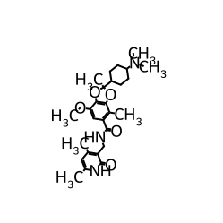 COc1cc(C(=O)NCc2c(C)cc(C)[nH]c2=O)c(C)c2c1OC(C)(C1CCC(N(C)C)CC1)O2